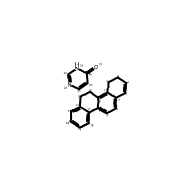 C1=Cc2ccc3c(c2CC1)CCc1ccccc1-3.O=c1ccnc[nH]1